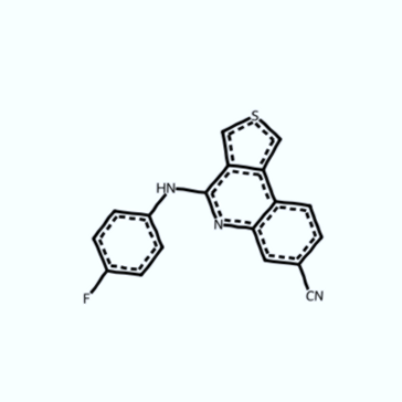 N#Cc1ccc2c(c1)nc(Nc1ccc(F)cc1)c1cscc12